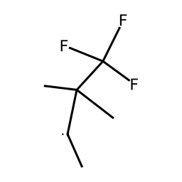 C[CH]C(C)(C)C(F)(F)F